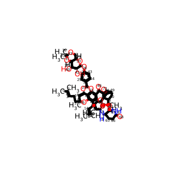 CC(C)=CCCC1(C)C=Cc2c(c(CC=C(C)C)c3c(c2OC(=O)c2ccc(O[C@@H]4O[C@@H]5COC(C)(C)O[C@H]5[C@@H](O)[C@H]4O)cc2)C(=O)C2=CC4CC5C(C)(C)OC(C/C=C(/C)C(=O)NC6CCC(=O)NC6=O)(C4=O)C25O3)O1